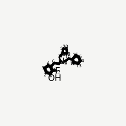 Oc1cccc(CCN(CCc2ccccc2)CC2CCC2)c1F